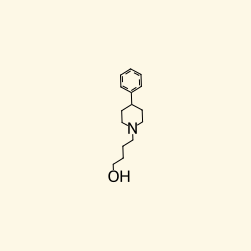 OCCCCN1CCC(c2ccccc2)CC1